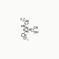 N#C[C@@H]1CN(c2nc(Nc3ccnc(C(F)(F)F)c3)nc(-c3cccc(C(F)(F)F)n3)n2)C[C@H]1O